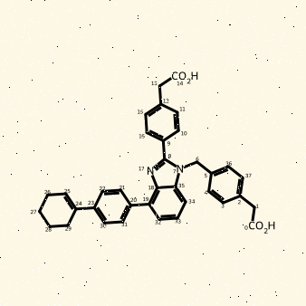 O=C(O)Cc1ccc(Cn2c(-c3ccc(CC(=O)O)cc3)nc3c(-c4ccc(C5=CCCCC5)cc4)cccc32)cc1